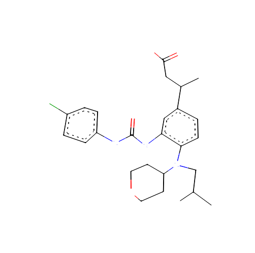 CC(C)CN(c1ccc(C(C)CC(=O)O)cc1NC(=O)Nc1ccc(Cl)cc1)C1CCOCC1